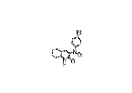 CCc1ccc(N(CC)c2cc3ccccc3[nH]c2=O)cc1